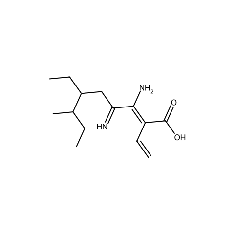 C=C/C(C(=O)O)=C(/N)C(=N)CC(CC)C(C)CC